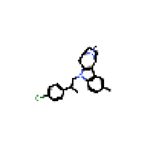 Cc1ccc2c(c1)c1c(n2CC(C)c2ccc(Cl)cc2)CC2CCC1N2C